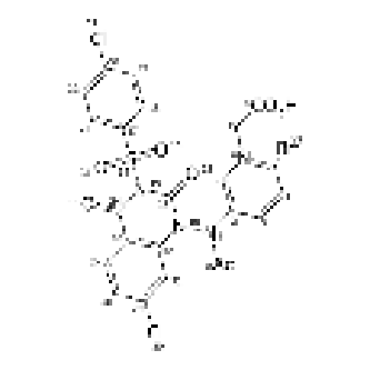 CC(=O)N(c1ccc[n+](CC(=O)O)c1)n1c(=O)n(S(=O)(=O)c2ccc(Cl)cc2)c(=O)c2ccc(Cl)cc21.[Br-]